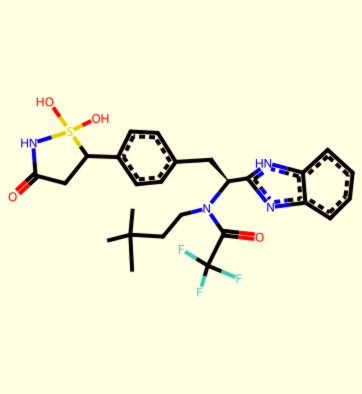 CC(C)(C)CCN(C(=O)C(F)(F)F)[C@@H](Cc1ccc(C2CC(=O)NS2(O)O)cc1)c1nc2ccccc2[nH]1